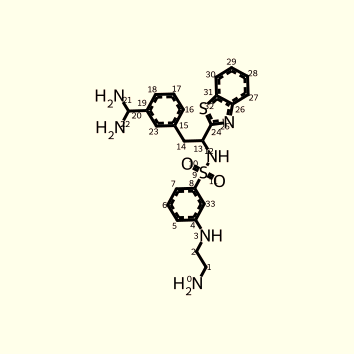 NCCNc1cccc(S(=O)(=O)NC(Cc2cccc(C(N)N)c2)c2nc3ccccc3s2)c1